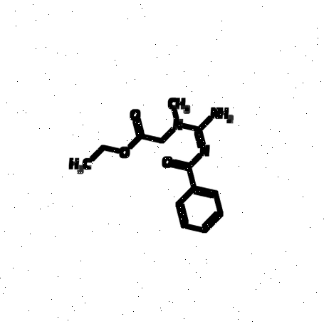 CCOC(=O)CN(C)C(N)=NC(=O)c1ccccc1